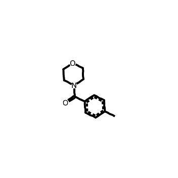 Cc1ccc(C(=O)N2CCOCC2)cc1